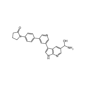 NC(O)c1cnc2[nH]cc(-c3cncc(-c4ccc(N5CCCC5=O)cc4)c3)c2c1